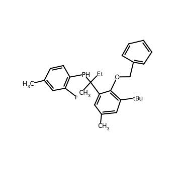 CCC(C)(Pc1ccc(C)cc1F)c1cc(C)cc(C(C)(C)C)c1OCc1ccccc1